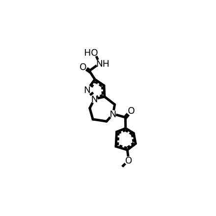 COc1ccc(C(=O)N2CCCn3nc(C(=O)NO)cc3C2)cc1